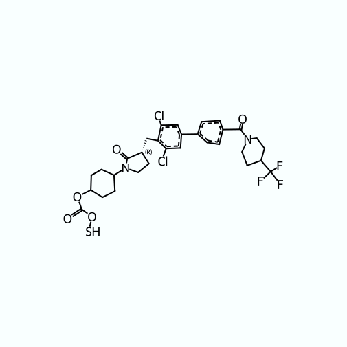 O=C(OS)OC1CCC(N2CC[C@@H](Cc3c(Cl)cc(-c4ccc(C(=O)N5CCC(C(F)(F)F)CC5)cc4)cc3Cl)C2=O)CC1